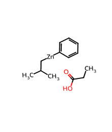 CC(C)[CH2][Zn][c]1ccccc1.CCC(=O)O